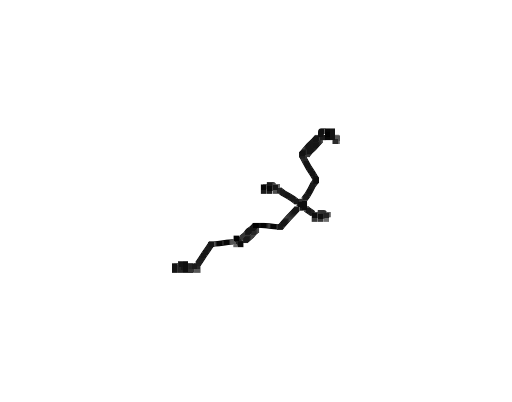 C=CC[Si](CC=NCCCCCCCCCC)(CCC)CCC